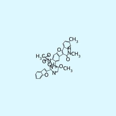 CNC(=O)c1c(-c2ccc(C)cc2)oc2cc(N(C)S(C)(=O)=O)c(-c3nc(-c4cc5ccccc5o4)ncc3OC)cc12